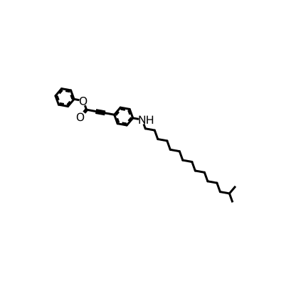 CC(C)CCCCCCCCCCCCCNc1ccc(C#CC(=O)Oc2ccccc2)cc1